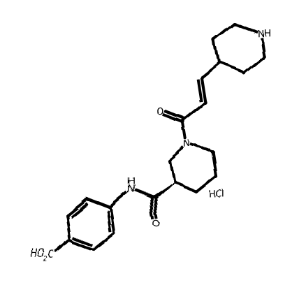 Cl.O=C(O)c1ccc(NC(=O)[C@@H]2CCCN(C(=O)C=CC3CCNCC3)C2)cc1